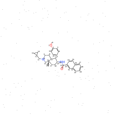 COc1cccc([C@@]23CCN(CC4CC4)C[C@H]2CC[C@H](NC(=O)c2ccc4ccccc4c2)C3)c1